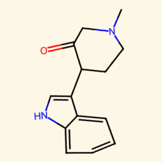 CN1CCC(c2c[nH]c3ccccc23)C(=O)C1